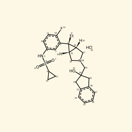 CC[C@@]1(c2cc(NS(=O)(=O)C3CC3)ccc2F)[C@@H]2CN(CC3(O)Cc4ccccc4C3)C[C@@H]21.Cl